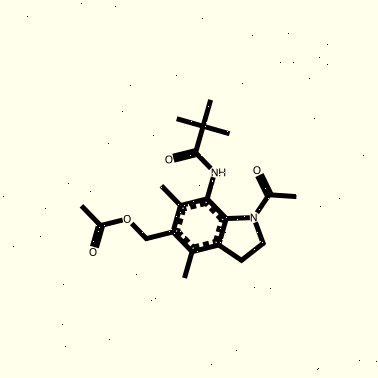 CC(=O)OCc1c(C)c2c(c(NC(=O)C(C)(C)C)c1C)N(C(C)=O)CC2